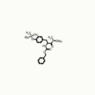 CON(C)C(=O)C(Cc1ccc(O[Si](C)(C)C(C)(C)C)cc1)NC(=O)OCc1ccccc1